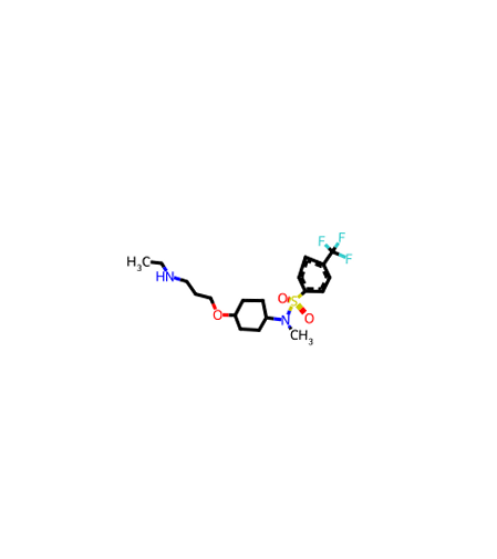 CCNCCCOC1CCC(N(C)S(=O)(=O)c2ccc(C(F)(F)F)cc2)CC1